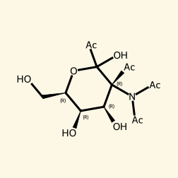 CC(=O)N(C(C)=O)[C@]1(C(C)=O)[C@@H](O)[C@@H](O)[C@@H](CO)OC1(O)C(C)=O